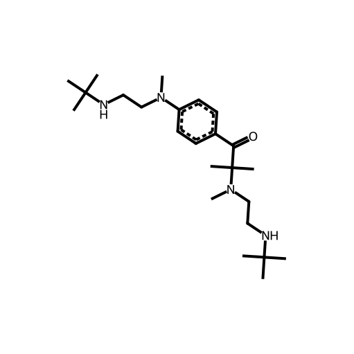 CN(CCNC(C)(C)C)c1ccc(C(=O)C(C)(C)N(C)CCNC(C)(C)C)cc1